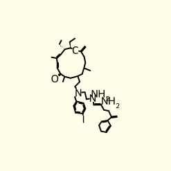 C=C1CCC(C)CC(CCN(CCN(N)/C=C(\N)CCC(=C)C2=CCCC=C2)Cc2ccc(I)cc2)CC(C)C(=O)/C=C/C(C)=C/[C@H](CC)[C@@H](CC)C1